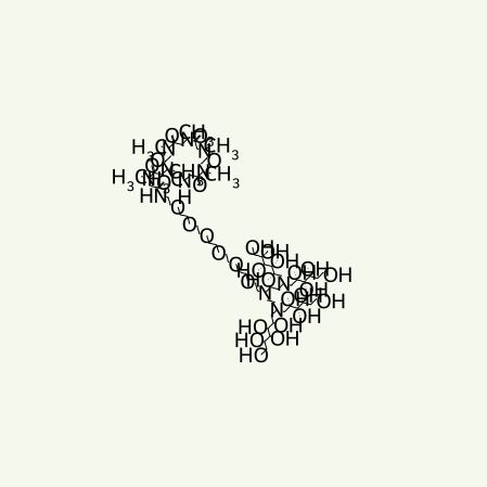 CNCC(=O)N(C)CC(=O)N(C)CC(=O)N(C)CC(=O)N(C)CC(=O)N(C)CC(=O)N(C)CC(=O)NCCOCCOCCOCCOCCOCCOCCN(CCN(C[C@H](O)[C@@H](O)[C@H](O)[C@H](O)CO)C[C@H](O)[C@@H](O)[C@H](O)CCO)CCN(C[C@H](O)[C@@H](O)[C@H](O)[C@H](O)CO)C[C@H](O)[C@@H](O)[C@H](O)CCO